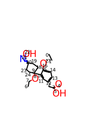 CC.CC(=O)O.CCOC1(c2ccccc2OC)CCC(=NO)CC1